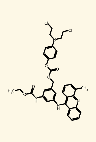 CCOC(=O)Nc1cc(COC(=O)Oc2ccc(N(CCCl)CCCl)cc2)cc(Nc2c3ccccc3nc3c(C)cccc23)c1